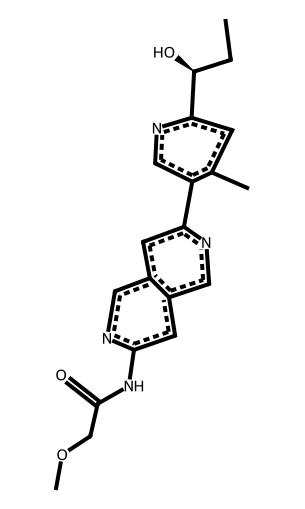 CC[C@H](O)c1cc(C)c(-c2cc3cnc(NC(=O)COC)cc3cn2)cn1